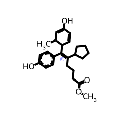 COC(=O)CCC/C(=C(\c1ccc(O)cc1)C1C=CC(O)=CC1C)C1CCCC1